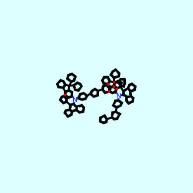 c1ccc(-c2cccc(-c3ccc(N(c4ccc5c(c4)C(c4ccccc4)(c4ccccc4)c4ccccc4-5)c4c(-c5cccc(-c6ccc(-c7ccc(-c8ccc(N(c9ccc%10c(c9)C(c9ccccc9)(c9ccccc9)c9ccccc9-%10)c9c(-c%10ccccc%10)c%10ccccc%10c%10ccccc9%10)cc8)cc7)cc6)c5)c5ccccc5c5ccccc45)cc3)c2)cc1